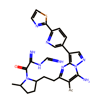 CC(=O)c1c(CCC2CCC(C)N2C(=O)C(=N)NC=N)nc2c(-c3ccc(-c4nccs4)nc3)cnn2c1N